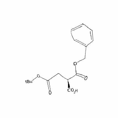 CC(C)(C)OC(=O)C[C@H](C(=O)O)C(=O)OCc1ccccc1